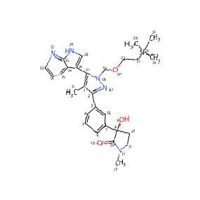 Cc1c(-c2cccc([C@]3(O)CCN(C)C3=O)c2)nn(COCC[Si](C)(C)C)c1-c1c[nH]c2ncccc12